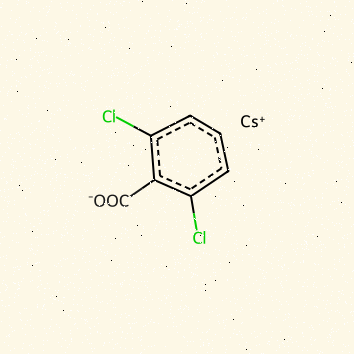 O=C([O-])c1c(Cl)cccc1Cl.[Cs+]